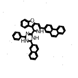 C1=C(c2ccc3c(ccc4ccccc43)c2)NC(C2=NC(c3ccccc3)NC(c3ccc4ccccc4c3)N2)c2c1oc1ccccc21